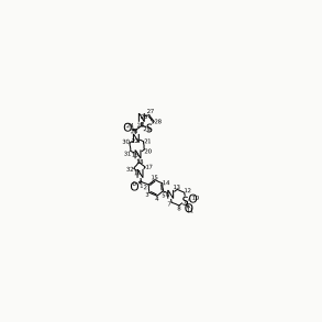 O=C(c1ccc(N2CCS(=O)(=O)CC2)cc1)N1CC(N2CCN(C(=O)c3nccs3)CC2)C1